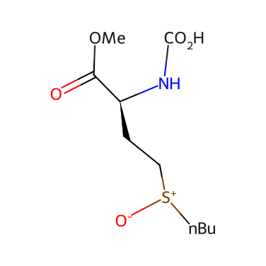 CCCC[S+]([O-])CC[C@H](NC(=O)O)C(=O)OC